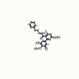 COc1c(Cl)cc(-c2nc(SC)nc(C)c2C(=O)NCCCc2ccccc2)cc1Cl